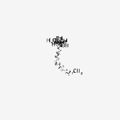 CCC/C=C\CCCCC/C=C\CCCCCCCC(O)(C[N+](C)(C)C)P(=O)(O)O